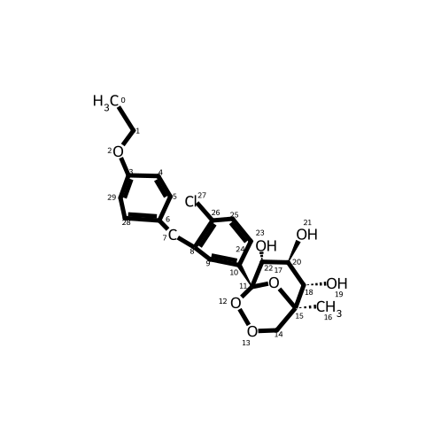 CCOc1ccc(Cc2cc([C@]34OOC[C@@](C)(O3)[C@@H](O)[C@H](O)[C@H]4O)ccc2Cl)cc1